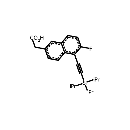 CC(C)[Si](C#Cc1c(F)ccc2cc(CC(=O)O)ccc12)(C(C)C)C(C)C